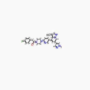 Cn1cc(-c2cc(-c3ccc(N4CCN(C(=O)Cc5ccc(F)cc5)CC4)nc3)c3c(C#N)cnn3c2)cn1